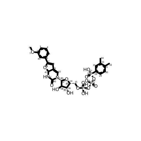 COc1cccc(C2=CC3=CN([C@@H]4O[C@H](COP(=O)(O)OP(=O)(O)OP(=O)(O)c5ccc(C)c(C)c5)[C@H](O)C4O)C(=O)NC3O2)c1